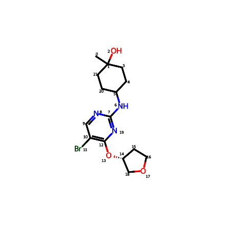 CC1(O)CCC(Nc2ncc(Br)c(O[C@@H]3CCOC3)n2)CC1